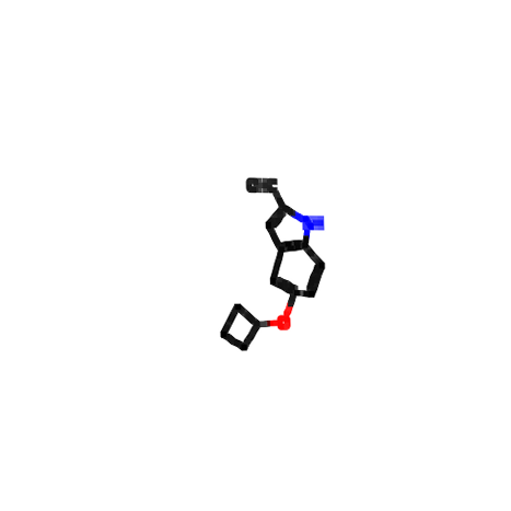 O=Cc1cc2cc(OC3CCC3)ccc2[nH]1